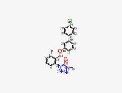 Cc1cccc(-n2nnn(C)c2=O)c1COc1cccc(-c2ccc(Cl)cc2)c1